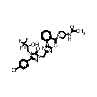 CC(=O)N[C@H]1CCN(C(=O)c2ccccc2-n2cnc(Cn3nc(-c4ccc(Cl)cc4)n(C[C@H](O)C(F)(F)F)c3=O)n2)C1